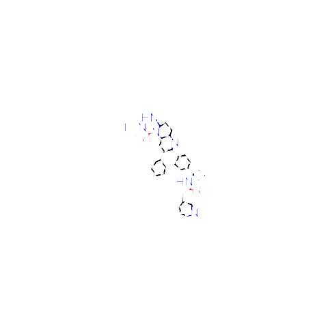 N=c1ccc2nc(-c3ccc(C4(NC(=O)Cc5cccnc5)CCC4)cc3)c(-c3ccccc3)cc2n1C(N)=O